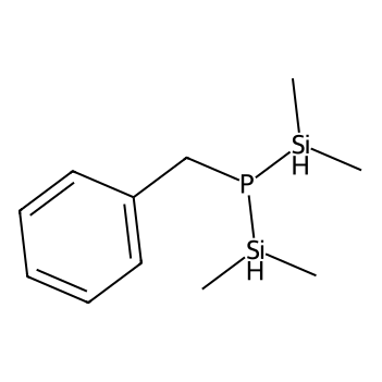 C[SiH](C)P(Cc1ccccc1)[SiH](C)C